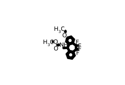 CCOc1ccc2c(c1)C(CNC(=O)OC)c1ccccc1C(F)(F)C2(F)F